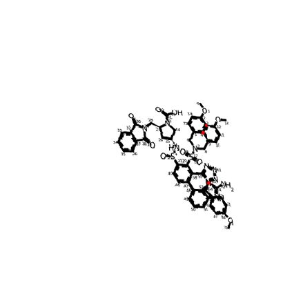 COc1ccc(CN(Cc2ccc(OC)cc2)S(=O)(=O)c2c([S+]([O-])N[C@@H]3C[C@@H](CN4C(=O)c5ccccc5C4=O)N(C(=O)O)C3)ccc(-c3cccc4[nH]c(N)nc34)c2-c2nnnn2Cc2ccc(OC)cc2)cc1